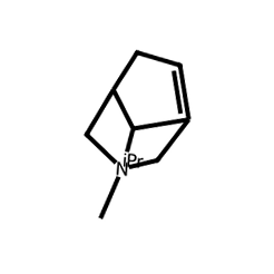 CC(C)C1C2=CCC1CN(C)C2